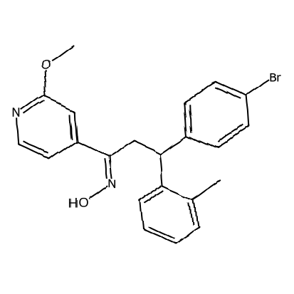 COc1cc(/C(CC(c2ccc(Br)cc2)c2ccccc2C)=N\O)ccn1